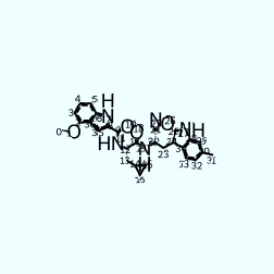 COc1cccc2[nH]c(C(=O)N[C@@H](CC3CC3)C(=O)N[C@H](C#N)CC3C(=O)Nc4cc(C)ccc43)cc12